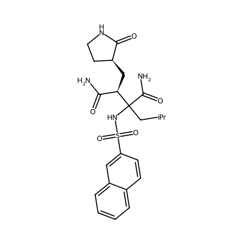 CC(C)CC(NS(=O)(=O)c1ccc2ccccc2c1)(C(N)=O)[C@H](C[C@H]1CCNC1=O)C(N)=O